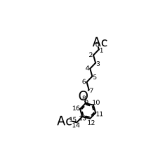 CC(=O)CCCCCCCOc1cccc(CC(C)=O)c1